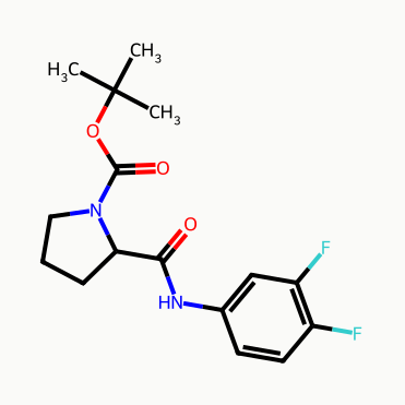 CC(C)(C)OC(=O)N1CCCC1C(=O)Nc1ccc(F)c(F)c1